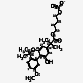 COc1ccc2c(c1)-c1c(O)cc(C(C)(C)C(=O)OCCCCO[N+](=O)[O-])cc1OC2(C)C